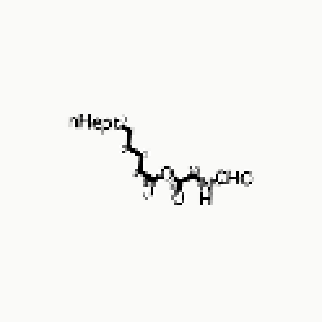 CCCCCCCCCCC[C@H](C)OC(=O)CNC=O